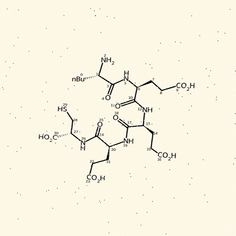 CCCC[C@H](N)C(=O)N[C@@H](CCC(=O)O)C(=O)N[C@@H](CCC(=O)O)C(=O)N[C@@H](CCC(=O)O)C(=O)N[C@@H](CS)C(=O)O